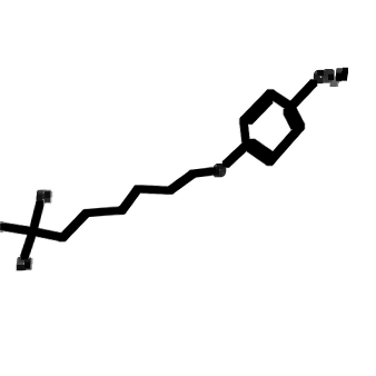 CCC(CC)(CC)CCCCCCOc1ccc(C(=O)O)cc1